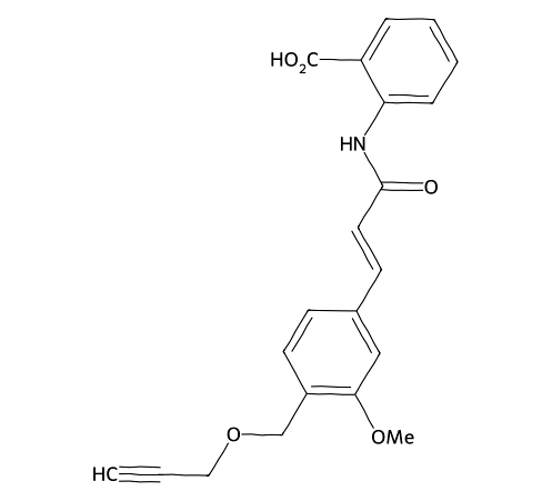 C#CCOCc1ccc(/C=C/C(=O)Nc2ccccc2C(=O)O)cc1OC